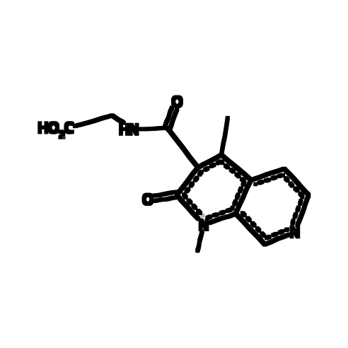 Cc1c(C(=O)NCC(=O)O)c(=O)n(C)c2cnccc12